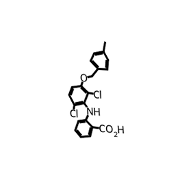 Cc1ccc(COc2ccc(Cl)c(Nc3ccccc3C(=O)O)c2Cl)cc1